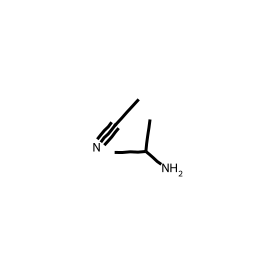 CC#N.CC(C)N